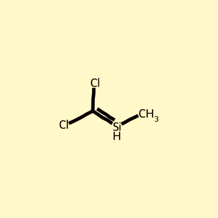 C[SiH]=C(Cl)Cl